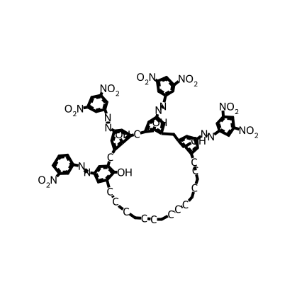 O=[N+]([O-])c1cccc(N=Nc2cc3c(O)c(c2)Cc2cc(N=Nc4cc([N+](=O)[O-])cc([N+](=O)[O-])c4)cc(c2O)Cc2cc(N=Nc4cc([N+](=O)[O-])cc([N+](=O)[O-])c4)cc(c2O)Cc2cc(N=Nc4cc([N+](=O)[O-])cc([N+](=O)[O-])c4)cc(c2O)CCCCCCCCCCCCCCCC3)c1